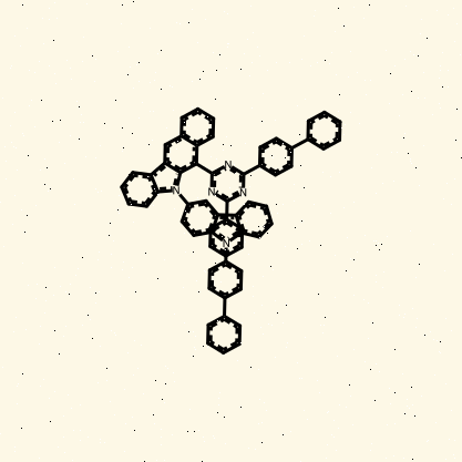 c1ccc(-c2ccc(-c3nc(-c4ccccc4)nc(-c4c5ccccc5cc5c6ccccc6n(-c6ccc7c(c6)c6ccccc6n7-c6ccc(-c7ccccc7)cc6)c45)n3)cc2)cc1